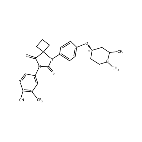 CN1CC[C@@H](Oc2ccc(N3C(=S)N(c4cnc(C#N)c(C(F)(F)F)c4)C(=O)C34CCC4)cc2)CC1C(F)(F)F